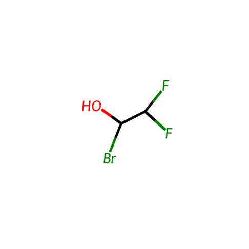 OC(Br)C(F)F